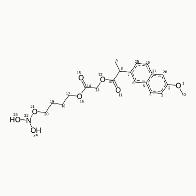 COc1ccc2cc(C(C)C(=O)OCC(=O)OCCCCON(O)O)ccc2c1